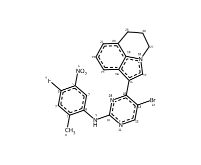 Cc1cc(F)c([N+](=O)[O-])cc1Nc1ncc(Br)c(-c2cn3c4c(cccc24)CCC3)n1